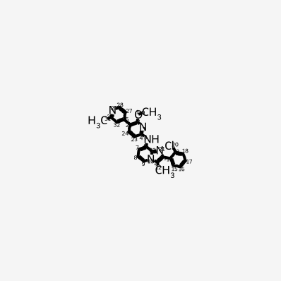 COc1nc(Nc2cccn3c(C)c(-c4ccccc4Cl)nc23)ccc1-c1ccnc(C)c1